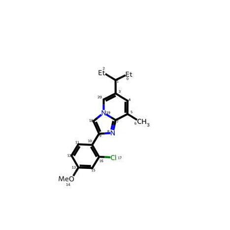 CCC(CC)c1cc(C)c2nc(-c3ccc(OC)cc3Cl)cn2c1